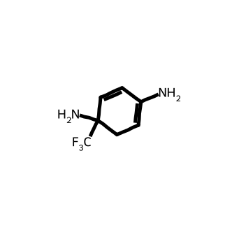 NC1=CCC(N)(C(F)(F)F)C=C1